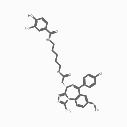 COc1ccc2c(c1)C(c1ccc(Cl)cc1)=N[C@@H](CC(=O)NCCCCCNC(=O)c1ccc(O)c(O)c1)c1nnc(C)n1-2